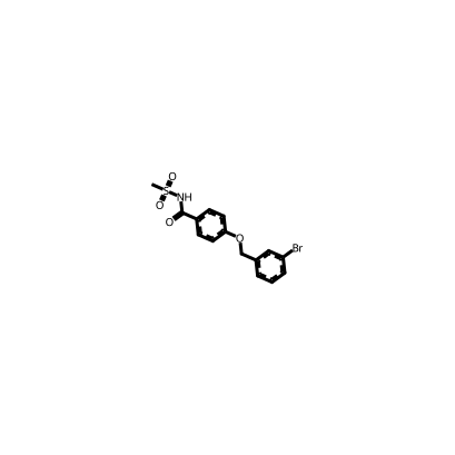 CS(=O)(=O)NC(=O)c1ccc(OCc2cccc(Br)c2)cc1